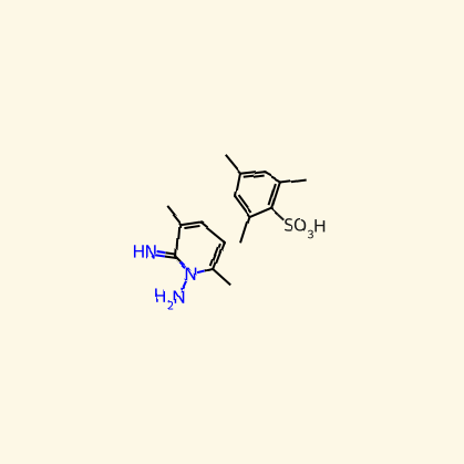 Cc1cc(C)c(S(=O)(=O)O)c(C)c1.Cc1ccc(C)n(N)c1=N